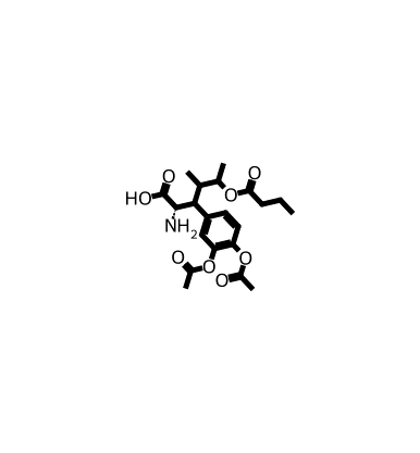 CCCC(=O)OC(C)C(C)C(c1ccc(OC(C)=O)c(OC(C)=O)c1)[C@H](N)C(=O)O